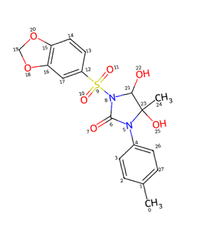 Cc1ccc(N2C(=O)N(S(=O)(=O)c3ccc4c(c3)OCO4)C(O)C2(C)O)cc1